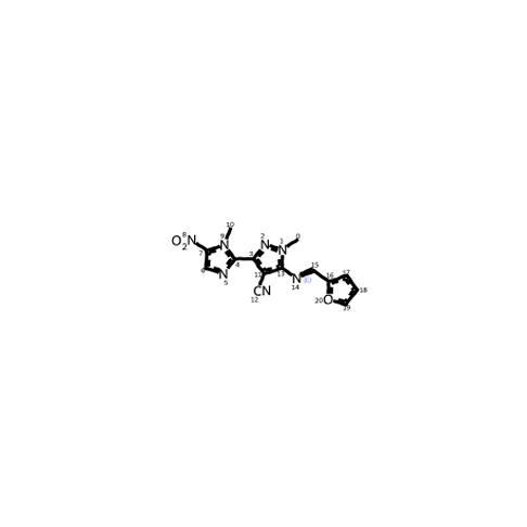 Cn1nc(-c2ncc([N+](=O)[O-])n2C)c(C#N)c1/N=C/c1ccco1